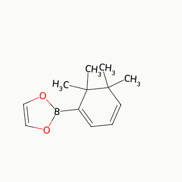 CC1(C)C=CC=C(B2OC=CO2)C1(C)C